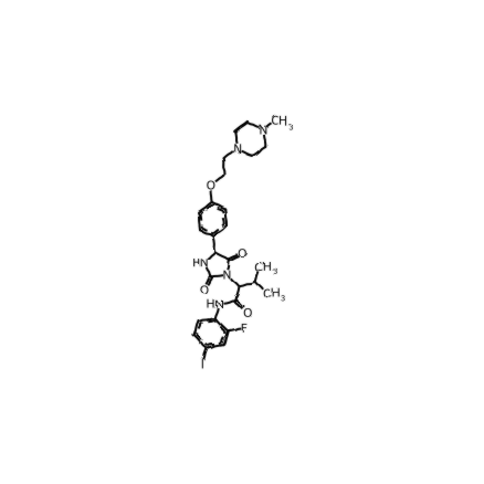 CC(C)C(C(=O)Nc1ccc(I)cc1F)N1C(=O)NC(c2ccc(OCCN3CCN(C)CC3)cc2)C1=O